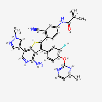 C=C(C)C(=O)Nc1ccc(-c2sc3c(-c4cnn(C)c4)cnc(N)c3c2-c2ccc(Oc3nccc(C)n3)c(F)c2)c(C#N)c1